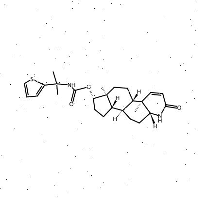 CC(C)(NC(=O)O[C@H]1CC[C@H]2[C@@H]3CC[C@H]4NC(=O)C=C[C@]4(C)[C@H]3CC[C@]12C)c1cccs1